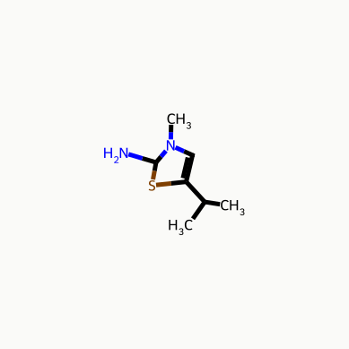 CC(C)C1=CN(C)C(N)S1